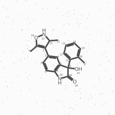 CC1=C(c2ccc3c(c2)C(O)(c2ccccc2C)C(=O)N3)C(C)NO1